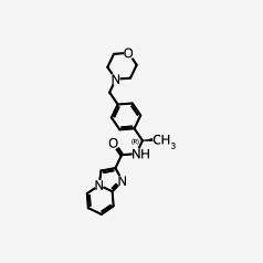 C[C@@H](NC(=O)c1cn2ccccc2n1)c1ccc(CN2CCOCC2)cc1